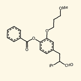 COCCCOc1cc(CC(C=O)C(C)C)ccc1OC(=O)c1ccccc1